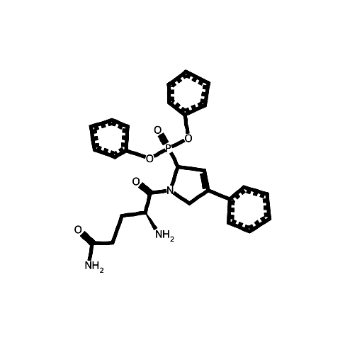 NC(=O)CC[C@H](N)C(=O)N1CC(c2ccccc2)=CC1P(=O)(Oc1ccccc1)Oc1ccccc1